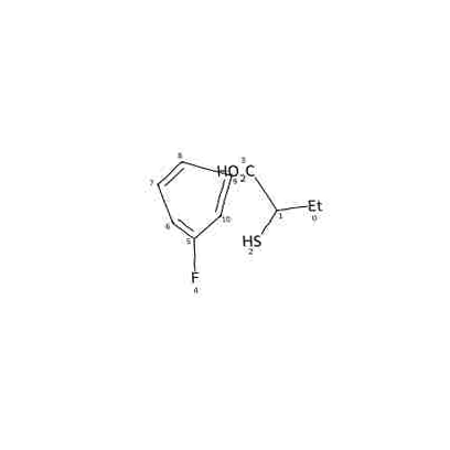 CCC(S)C(=O)O.Fc1ccccc1